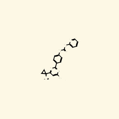 Nc1cc(C2(S(=O)O)CC2)nc(-c2ccc(NC(=O)Nc3ccccn3)cc2)n1